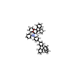 c1ccc(-c2ccccc2N(c2ccc(-c3ccc4c(c3)-c3ccccc3C43C4CC5CC(C4)CC3C5)cc2)c2ccc3c(c2)C2(CCCC2)c2ccccc2-3)cc1